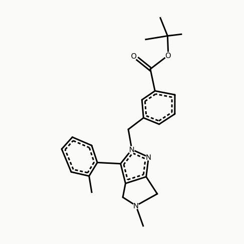 Cc1ccccc1-c1c2c(nn1Cc1cccc(C(=O)OC(C)(C)C)c1)CN(C)C2